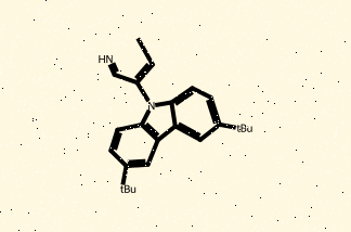 C/C=C(\C=N)n1c2ccc(C(C)(C)C)cc2c2cc(C(C)(C)C)ccc21